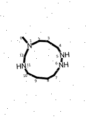 CN1CCCNNCCCCNC1